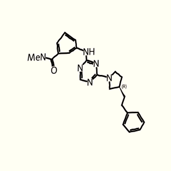 CNC(=O)c1cccc(Nc2ncnc(N3CC[C@@H](CCc4ccccc4)C3)n2)c1